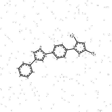 FC(F)(F)c1cc(C(F)(F)F)n(-c2ccc(-n3cc(-c4ccccc4)nn3)cc2)n1